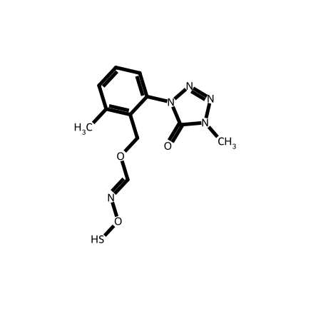 Cc1cccc(-n2nnn(C)c2=O)c1COC=NOS